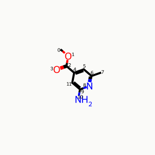 COC(=O)c1cc(C)nc(N)c1